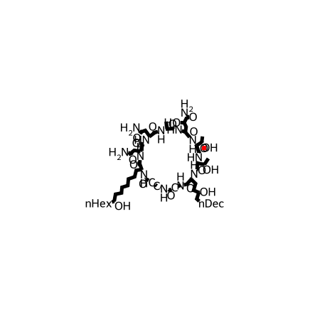 CCCCCCCCCCCC(O)CCC1NC(=O)C(C(C)O)NC(=O)C(C(C)O)NC(=O)C(CC(O)C(N)=O)NC(=O)C(C)NC(=O)C(CC(N)=O)NC(=O)C(CC(N)=O)NC(=O)C(CCCCCCCC(O)CCCCCC)NC(=O)CCNC(=O)CNC1=O